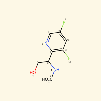 O=C(O)NC(CO)c1ncc(F)cc1F